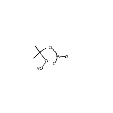 CC(C)(C)OO.[Cl][Ru]([Cl])[Cl]